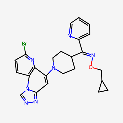 Brc1ccc2c(n1)c(N1CCC(/C(=N\OCC3CC3)c3ccccn3)CC1)cc1nncn12